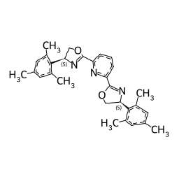 Cc1cc(C)c([C@H]2COC(c3cccc(C4=N[C@@H](c5c(C)cc(C)cc5C)CO4)n3)=N2)c(C)c1